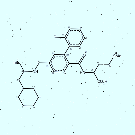 CCCCC(CC1CCCCC1)NCc1ccc(C(=O)NC(CCSC)C(=O)O)c(-c2ccccc2C)c1